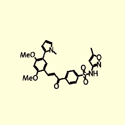 COc1cc(OC)c(-c2cccn2C)cc1C=CC(=O)c1ccc(S(=O)(=O)Nc2cc(C)on2)cc1